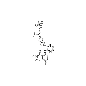 CCN(C(=O)c1cc(F)ccc1Oc1nncnc1N1CCC2(C1)CN([C@H](CCOS(C)(=O)=O)C(C)C)C2)C(C)C